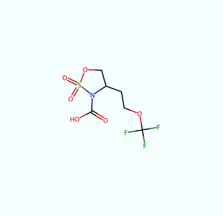 O=C(O)N1C(CCOC(F)(F)F)COS1(=O)=O